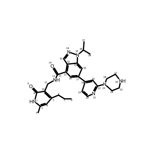 CCCc1cc(C)[nH]c(=O)c1CNC(=O)c1cc(-c2ccnc(N3CCNCC3)c2)cc2c1cnn2C(C)C